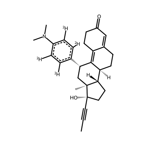 [2H]c1c([2H])c(N(C)C)c([2H])c([2H])c1[C@H]1C[C@@]2(C)[C@@H](CC[C@@]2(O)C#CC)[C@@H]2CCC3=CC(=O)CCC3=C21